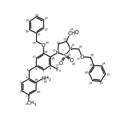 Cc1ccc(Cc2cc(F)c(N3CC(C=O)N(COCc4ccccc4)S3(=O)=O)c(OCc3ccccc3)c2)c(N)c1